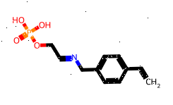 C=Cc1ccc(CN=CCOP(=O)(O)O)cc1